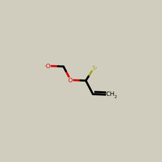 C=CC([S])OC[O]